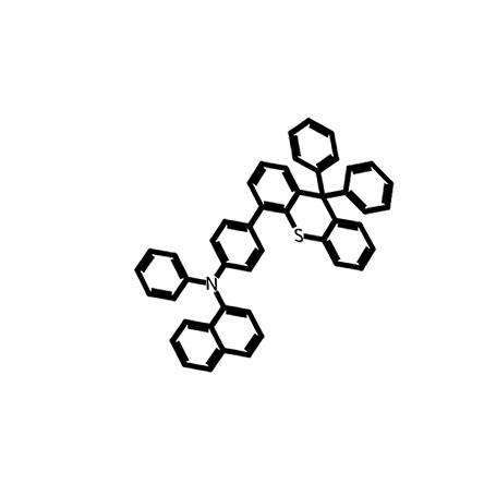 c1ccc(N(c2ccc(-c3cccc4c3Sc3ccccc3C4(c3ccccc3)c3ccccc3)cc2)c2cccc3ccccc23)cc1